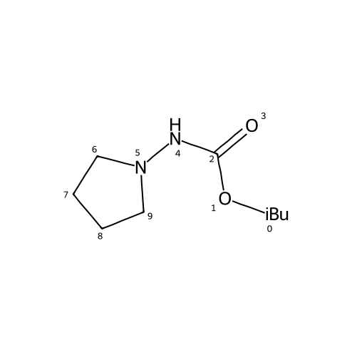 CCC(C)OC(=O)NN1CCCC1